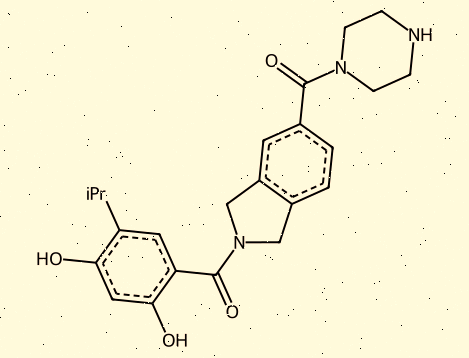 CC(C)c1cc(C(=O)N2Cc3ccc(C(=O)N4CCNCC4)cc3C2)c(O)cc1O